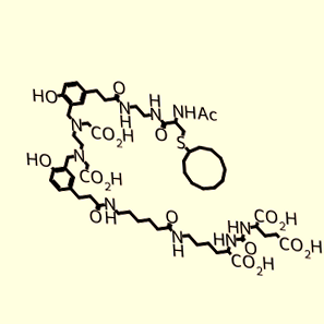 CC(=O)NC(CSC1CCCCCCCCCC1)C(=O)NCCNC(=O)CCc1ccc(O)c(CN(CCN(CC(=O)O)Cc2cc(CCC(=O)NCCCCCC(=O)NCCCCC(NC(=O)NC(CCC(=O)O)C(=O)O)C(=O)O)ccc2O)CC(=O)O)c1